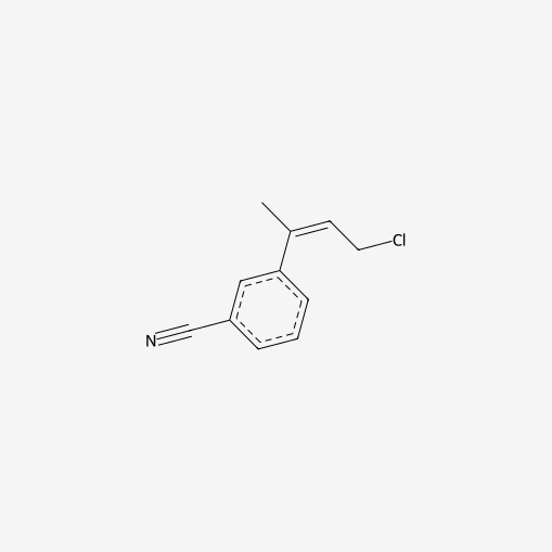 C/C(=C/CCl)c1cccc(C#N)c1